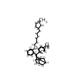 CN1CCC(CCCCCCOc2ccccc2C(=C2C3CC4CC(C3)CC2C4)c2ccc(Cl)cc2)C1.I